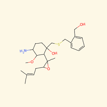 COC1C(N)CCC(O)(CSCc2ccccc2CO)C1C1(C)OC1CC=C(C)C